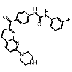 O=C(Nc1ccc(C(=O)c2ccc3ncc(N4CCNCC4)nc3c2)cc1)Nc1cccc(F)c1